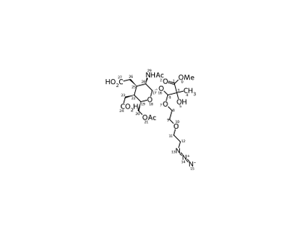 COC(=O)C(C)(O)C(OCCOCCN=[N+]=[N-])O[C@@H]1O[C@@H](COC(C)=O)[C@@H](CC(=O)O)[C@@H](CC(=O)O)[C@H]1NC(C)=O